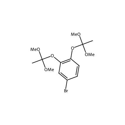 COC(C)(OC)Oc1ccc(Br)cc1OC(C)(OC)OC